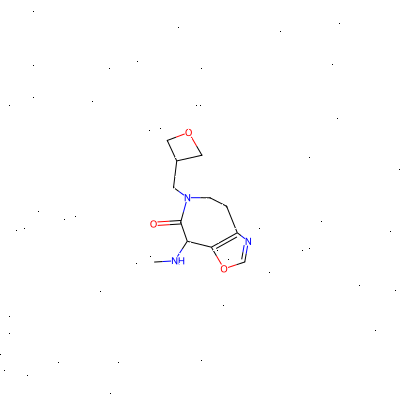 CNC1C(=O)N(CC2COC2)CCc2ncoc21